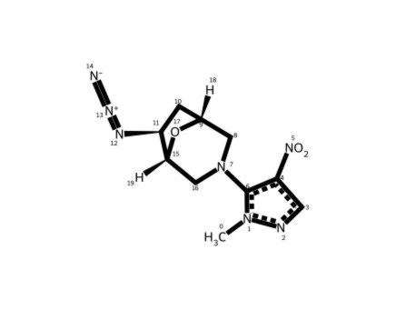 Cn1ncc([N+](=O)[O-])c1N1C[C@H]2C[C@H](N=[N+]=[N-])[C@@H](C1)O2